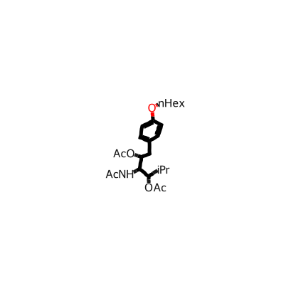 CCCCCCOc1ccc(CC(OC(C)=O)C(NC(C)=O)C(OC(C)=O)C(C)C)cc1